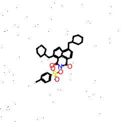 Cc1ccc(S(=O)(=O)ON2C(=O)c3ccc(CC4CCCCC4)c4ccc(CC5CCCCC5)c(c34)C2=O)cc1